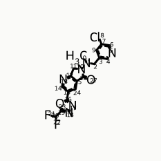 CN(Cc1cncc(Cl)c1)N1Cc2ncc(-c3nnc(C(F)F)o3)cc2C1=O